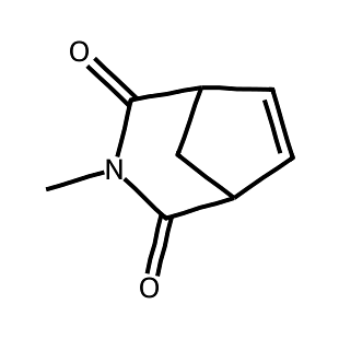 CN1C(=O)C2C=CC(C2)C1=O